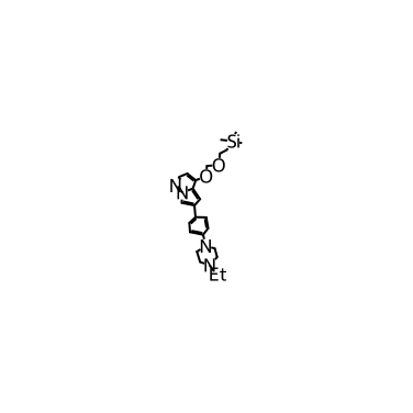 CCN1CCN(c2ccc(-c3cc4c(OCOCC[Si](C)(C)C)ccnn4c3)cc2)CC1